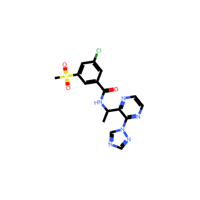 CC(NC(=O)c1cc(Cl)cc(S(C)(=O)=O)c1)c1nccnc1-n1cncn1